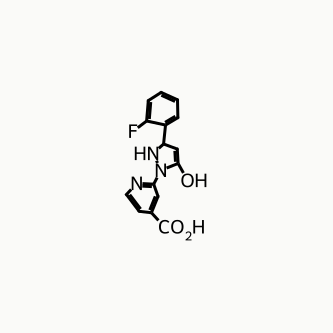 O=C(O)c1ccnc(N2NC(c3ccccc3F)C=C2O)c1